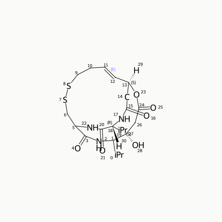 CC(C)C1NC(=O)C2CSSCC/C=C/[C@H](CC(=O)N[C@H](C(C)C)C(=O)N2)OC(=O)C[C@@H]1O